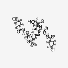 C[C@@H](O)[C@H]1C(=O)N2C(C(=O)OCOC(=O)c3ccc(Cl)cc3)=C(S[C@H]3C[C@@H](C(=O)N(C)C)N(C(=O)OCOC(=O)c4ccc(Cl)cc4)C3)[C@H](C)[C@H]12